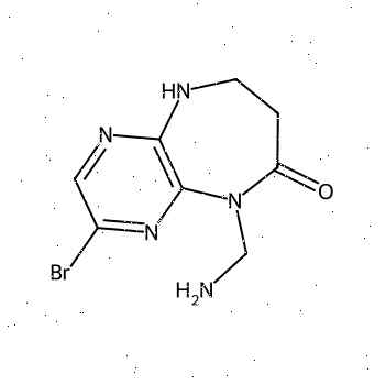 NCN1C(=O)CCNc2ncc(Br)nc21